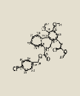 CCN(Cc1c(CC(=O)OC)cc(OC)c(OC)c1-c1ccccc1)C(=O)OCc1ccc(Cl)cc1